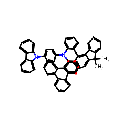 CC1(C)c2ccccc2-c2c(-c3ccccc3N(c3ccc(-n4c5ccccc5c5ccccc54)cc3)c3ccccc3-c3ccccc3-c3ccccc3-c3ccccc3)cccc21